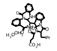 CC(C)CC1C(=O)N2c3ccccc3C(C3NC(=O)c4ccccc4N4C(=O)c5ccccc5NC34)C2(O)N1C(=O)CCC(=O)O.O.O